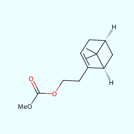 COC(=O)OCCC1=CC[C@H]2C[C@@H]1C2(C)C